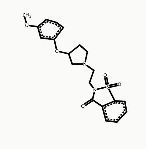 COc1cccc(OC2CCN(CCN3C(=O)c4ccccc4S3(=O)=O)C2)c1